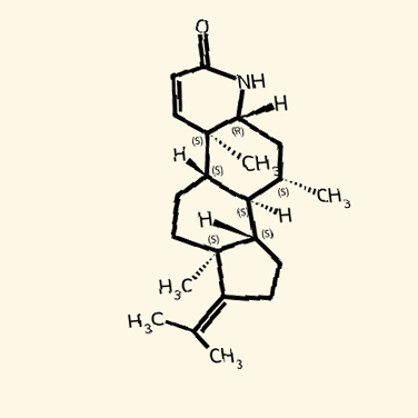 CC(C)=C1CC[C@H]2[C@@H]3[C@@H](C)C[C@H]4NC(=O)C=C[C@]4(C)[C@H]3CC[C@]12C